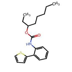 CCCCCC(CC)OC(=O)Nc1ccccc1-c1cccs1